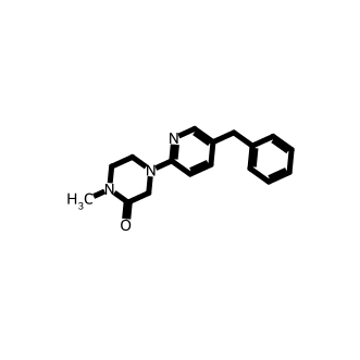 CN1CCN(c2ccc(Cc3ccccc3)cn2)CC1=O